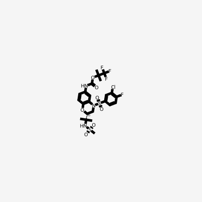 CC(C)(NS(C)(=O)=O)[C@H]1CN(S(=O)(=O)c2ccc(F)c(Cl)c2)c2cc(NC(=O)OC(C)(C)C(F)(F)F)ccc2O1